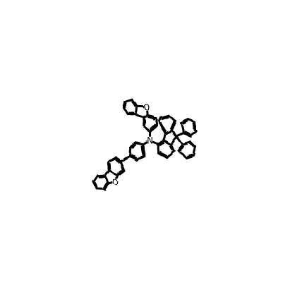 c1ccc(C2(c3ccccc3)c3ccccc3-c3c(N(c4ccc(-c5ccc6c(c5)oc5ccccc56)cc4)c4ccc5oc6ccccc6c5c4)cccc32)cc1